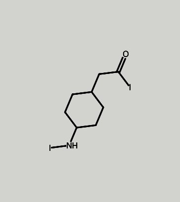 O=C(I)CC1CCC(NI)CC1